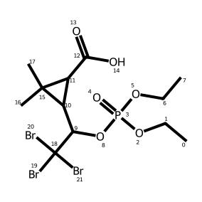 CCOP(=O)(OCC)OC(C1C(C(=O)O)C1(C)C)C(Br)(Br)Br